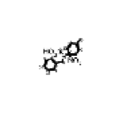 CC1=CCC(N(Cc2ccccc2)C(=O)O)([N+](=O)[O-])C=C1